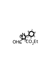 CCOC(=O)c1c(-c2ccccc2)noc1C=O